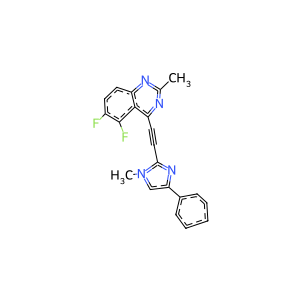 Cc1nc(C#Cc2nc(-c3ccccc3)cn2C)c2c(F)c(F)ccc2n1